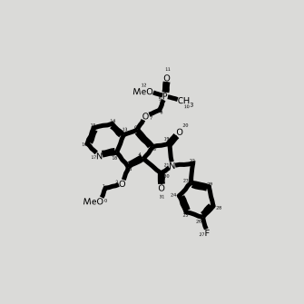 COCOc1c2c(c(OCP(C)(=O)OC)c3cccnc13)C(=O)N(Cc1ccc(F)cc1)C2=O